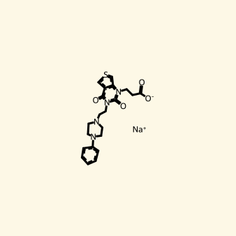 O=C([O-])CCn1c(=O)n(CCN2CCN(c3ccccc3)CC2)c(=O)c2cscc21.[Na+]